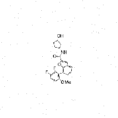 COc1ccc(F)c(F)c1-c1cccc2cc(C(=O)N[C@@H]3CC[C@H](O)C3)oc12